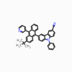 CC(C)(C)c1ccc2c(-c3ccc4c(c3)c3cc(C#N)ccc3n4-c3ccccc3)c3ccccc3c(-c3cccnc3)c2c1